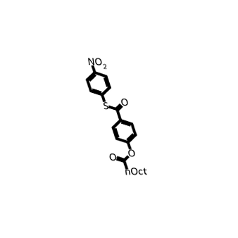 CCCCCCCCC(=O)Oc1ccc(C(=O)Sc2ccc([N+](=O)[O-])cc2)cc1